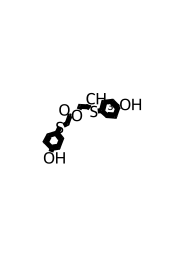 CC(COC(=O)CSc1ccc(O)cc1)Sc1ccc(O)cc1